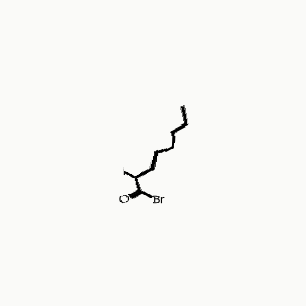 CCCCCCC(I)C(=O)Br